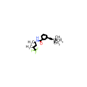 C=C(/C=C(\C)C(F)(F)F)NC(=O)c1cccc(C#C[Si](C)(C)C)c1